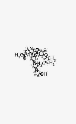 CC(C)CC(C)Oc1ccc(S(=O)(=O)c2cnc3ccc([S+](C)[O-])cc3c2N2CCC(N3CCC(N4CCCC(O)C4)CC3)CC2)cc1F